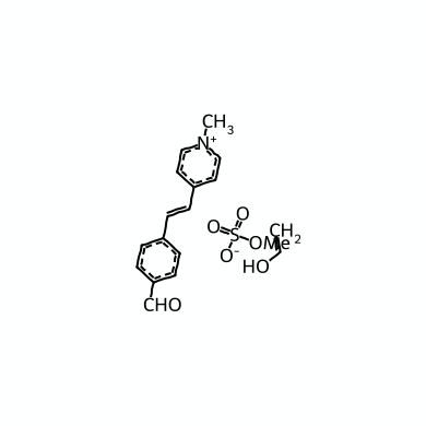 C=CO.COS(=O)(=O)[O-].C[n+]1ccc(C=Cc2ccc(C=O)cc2)cc1